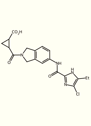 CCc1[nH]c(C(=O)Nc2ccc3c(c2)CN(C(=O)C2CC2C(=O)O)C3)nc1Cl